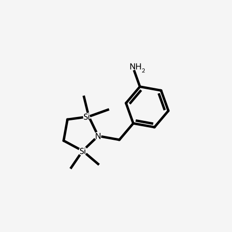 C[Si]1(C)CC[Si](C)(C)N1Cc1cccc(N)c1